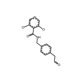 O=CCc1ccc(CNC(=O)c2c(Cl)cncc2Cl)cc1